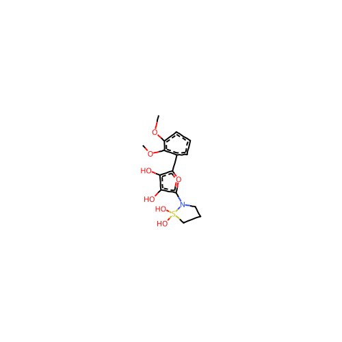 COc1cccc(-c2oc(N3CCCS3(O)O)c(O)c2O)c1OC